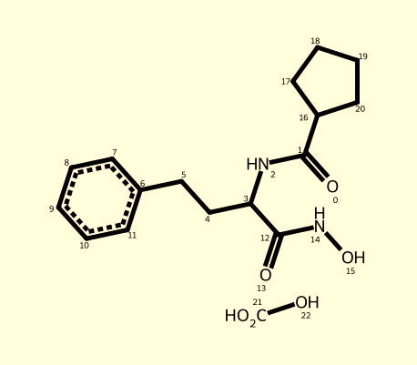 O=C(NC(CCc1ccccc1)C(=O)NO)C1CCCC1.O=C(O)O